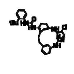 CC(C)(C)c1ccccc1NC(=O)Nc1ccc2cc1CCc1cccc(c1)Nc1ncc(Cl)c(n1)N2